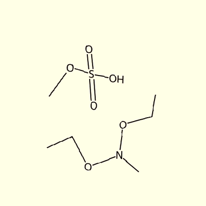 CCON(C)OCC.COS(=O)(=O)O